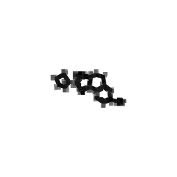 Brc1ccc2c(c1)CCc1[nH]c(C3CCCC3)nc1-2